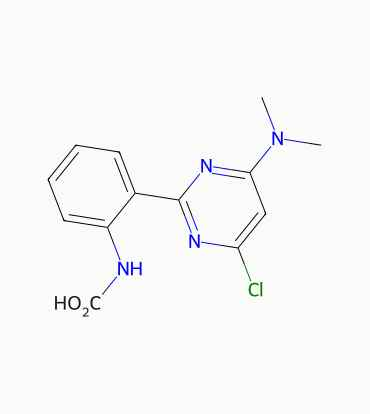 CN(C)c1cc(Cl)nc(-c2ccccc2NC(=O)O)n1